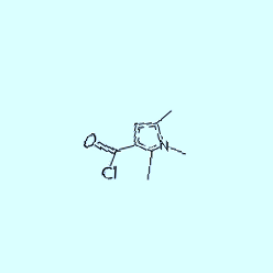 Cc1cc(C(=O)Cl)c(C)n1C